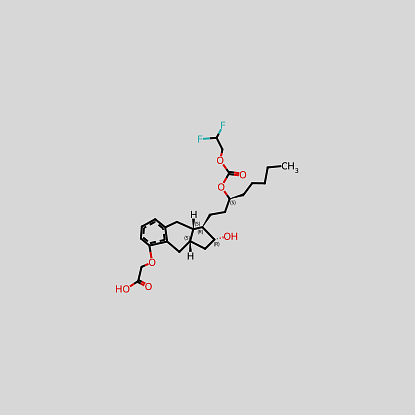 CCCCC[C@@H](CC[C@@H]1[C@H]2Cc3cccc(OCC(=O)O)c3C[C@H]2C[C@H]1O)OC(=O)OCC(F)F